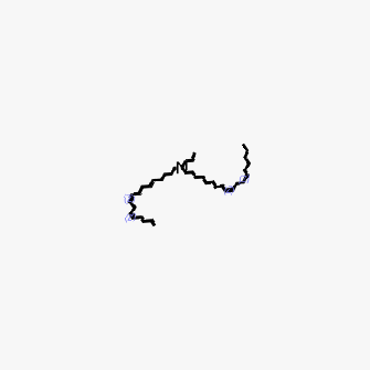 CCCC/C=C\C/C=C\CCCCCCCCN(CCC)CCCCCCCC/C=C\C/C=C\CCCCC